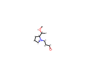 COC(C)C1CCCN1CCC[O]